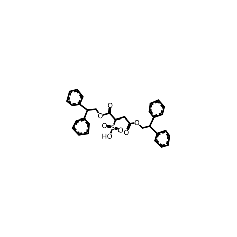 O=C(CC(C(=O)OCC(c1ccccc1)c1ccccc1)S(=O)(=O)O)OCC(c1ccccc1)c1ccccc1